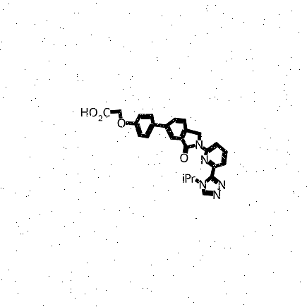 CC(C)n1cnnc1-c1cccc(N2Cc3ccc(-c4ccc(OCC(=O)O)cc4)cc3C2=O)n1